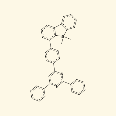 C[Si]1(C)c2ccccc2-c2cccc(-c3ccc(-c4cc(-c5ccccc5)nc(-c5ccccc5)n4)cc3)c21